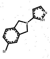 Brc1ccc2c(c1)CN(c1ccn[nH]1)C2